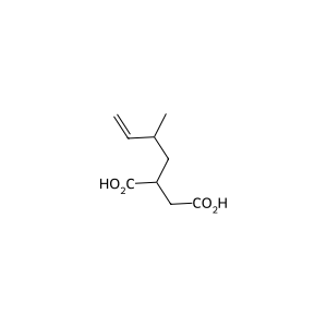 C=CC(C)CC(CC(=O)O)C(=O)O